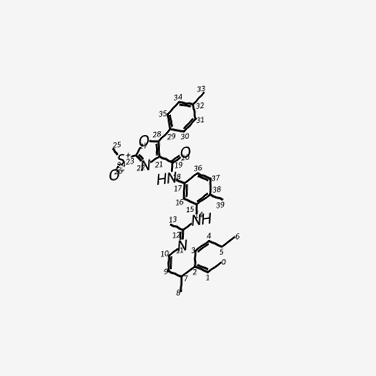 C/C=C(\C=C/CC)C(C)/C=C\N=C(/C)Nc1cc(NC(=O)c2nc([S+](C)[O-])oc2-c2ccc(C)cc2)ccc1C